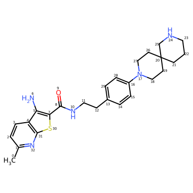 Cc1ccc2c(N)c(C(=O)NCCc3ccc(N4CCC5(CCCNC5)CC4)cc3)sc2n1